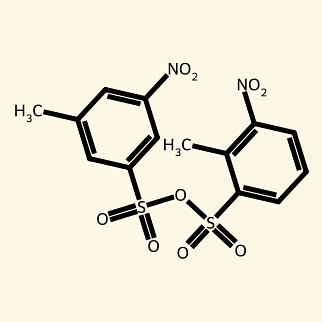 Cc1cc([N+](=O)[O-])cc(S(=O)(=O)OS(=O)(=O)c2cccc([N+](=O)[O-])c2C)c1